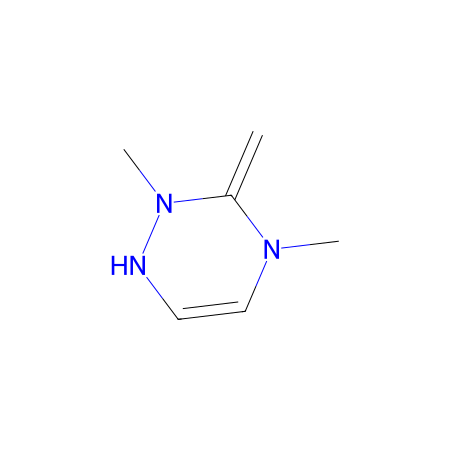 C=C1N(C)C=CNN1C